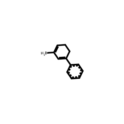 BC1=CCCC(c2ccccc2)=C1